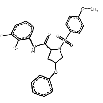 COc1ccc(S(=O)(=O)N2CC(Oc3ccccc3)CC2C(=O)Nc2cccc(F)c2O)cc1